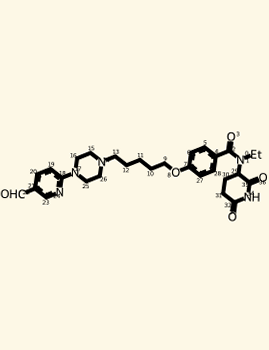 CCN(C(=O)c1ccc(OCCCCCN2CCN(c3ccc(C=O)cn3)CC2)cc1)C1CCC(=O)NC1=O